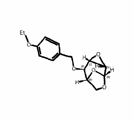 CCOc1ccc(CO[C@H]2[C@@H]3O[C@@H]3[C@@H]3OC[C@H]2O3)cc1